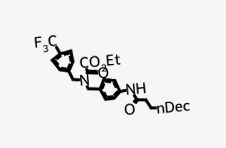 CCCCCCCCCCCCC(=O)Nc1ccc(CN(Cc2ccc(C(F)(F)F)cc2)C(=O)C(=O)OCC)cc1